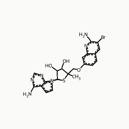 CC1(COc2ccc3cc(Br)c(N)nc3c2)SC(n2ccc3c(N)ncnc32)C(O)C1O